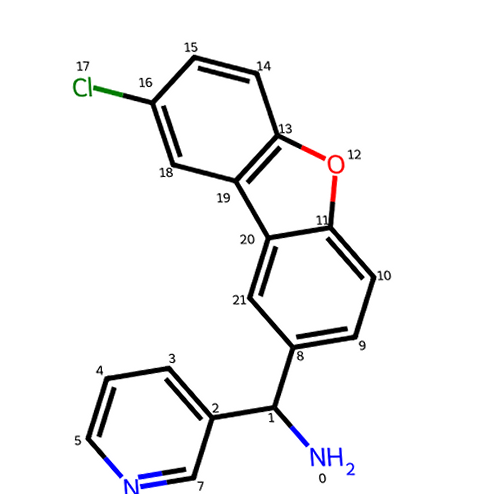 NC(c1cccnc1)c1ccc2oc3ccc(Cl)cc3c2c1